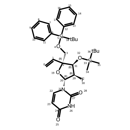 C=C[C@]1(CO[Si](c2ccccc2)(c2ccccc2)C(C)(C)C)O[C@@H](n2ccc(=O)[nH]c2=O)[C@H](F)[C@@H]1O[Si](C)(C)C(C)(C)C